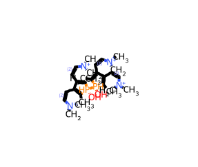 C=[N+](C)/C=C\C1=C(C)[PH](O)([PH]2(O)C(C)=C(/C=C\[N+](=C)C)C(/C=C\[N+](=C)C)=C2C)C(C)=C1/C=C\[N+](=C)C